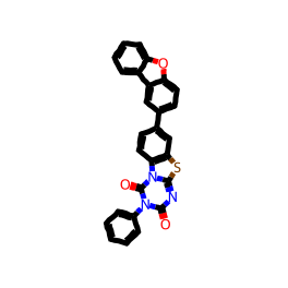 O=c1nc2sc3cc(-c4ccc5oc6ccccc6c5c4)ccc3n2c(=O)n1-c1ccccc1